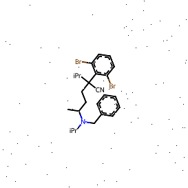 CC(C)N(Cc1ccccc1)C(C)CCC(C#N)(c1c(Br)cccc1Br)C(C)C